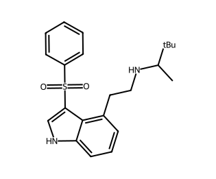 CC(NCCc1cccc2[nH]cc(S(=O)(=O)c3ccccc3)c12)C(C)(C)C